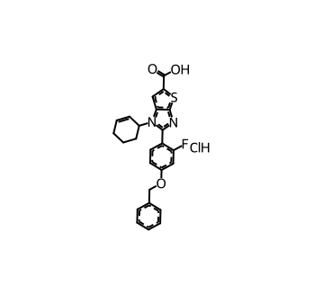 Cl.O=C(O)c1cc2c(nc(-c3ccc(OCc4ccccc4)cc3F)n2C2C=CCCC2)s1